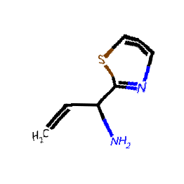 C=CC(N)c1nccs1